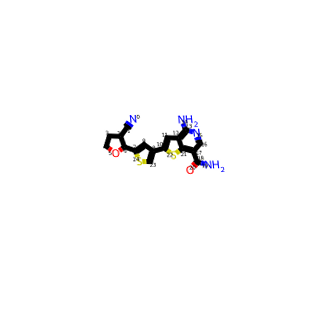 N#CC1CCOC1c1cc(-c2cc3c(N)ncc(C(N)=O)c3s2)cs1